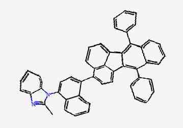 Cc1nc2ccccc2n1-c1ccc(-c2ccc3c4c(cccc24)-c2c-3c(-c3ccccc3)c3ccccc3c2-c2ccccc2)c2ccccc12